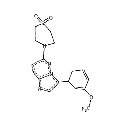 O=S1(=O)CCN(c2ccc3ncc(C4C=C(OC(F)(F)F)C=CC4)n3n2)CC1